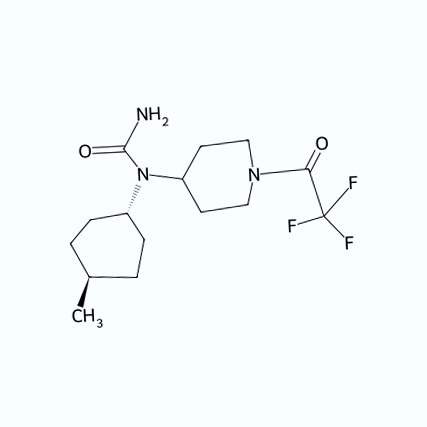 C[C@H]1CC[C@H](N(C(N)=O)C2CCN(C(=O)C(F)(F)F)CC2)CC1